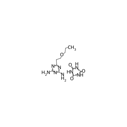 CCCOCCc1nc(N)nc(N)n1.O=c1[nH]c(=O)[nH]c(=O)[nH]1